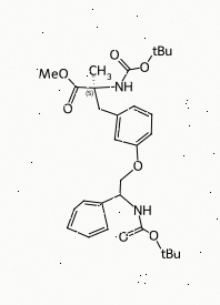 COC(=O)[C@](C)(Cc1cccc(OCC(NC(=O)OC(C)(C)C)c2ccccc2)c1)NC(=O)OC(C)(C)C